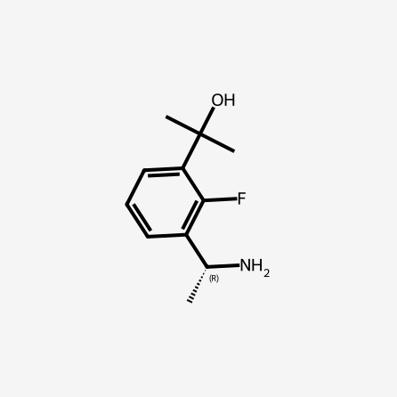 C[C@@H](N)c1cccc(C(C)(C)O)c1F